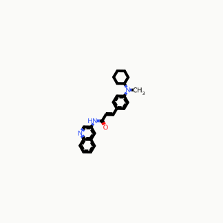 CN(c1ccc(C=CC(=O)Nc2cnc3ccccc3c2)cc1)C1CCCCC1